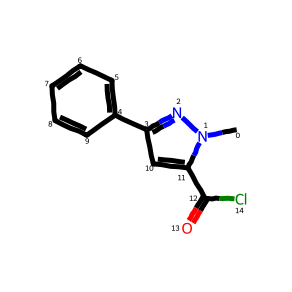 Cn1nc(-c2ccccc2)cc1C(=O)Cl